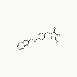 O=C1NC(=O)C(Cc2ccc(OCc3cn4ccccc4n3)cc2)S1